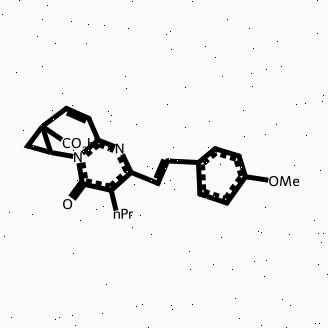 CCCc1c(/C=C/c2ccc(OC)cc2)nc2n(c1=O)C1CC1(C(=O)O)C=C2